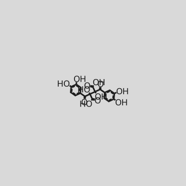 O=C(O)C(O)(C(=O)c1ccc(O)c(O)c1)C(O)(C(=O)O)C(=O)c1ccc(O)c(O)c1